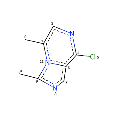 Cc1cnc(Cl)c2cnc(C)n12